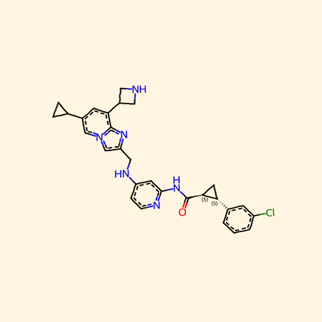 O=C(Nc1cc(NCc2cn3cc(C4CC4)cc(C4CNC4)c3n2)ccn1)[C@H]1C[C@@H]1c1cccc(Cl)c1